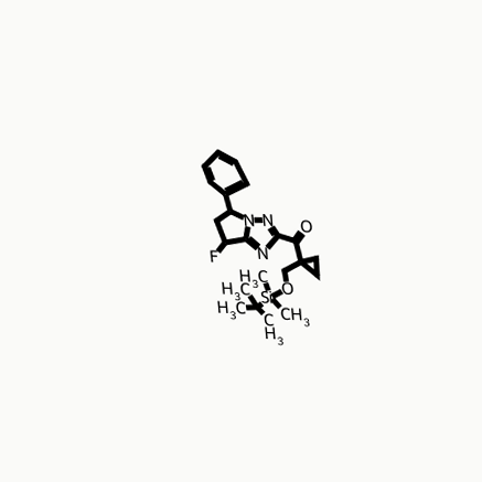 CC(C)(C)[Si](C)(C)OCC1(C(=O)c2nc3n(n2)C(c2ccccc2)CC3F)CC1